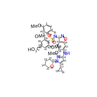 COc1ccc(CN(c2noc3cc(Nc4cc(C5CC5)n(C5CCCCO5)n4)c(OC)cc23)S(=O)(=O)c2c(OC)cc(C(=O)O)cc2OC)cc1